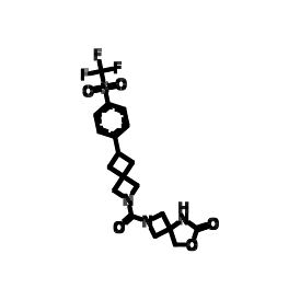 O=C1NC2(CO1)CN(C(=O)N1CC3(CC(c4ccc(S(=O)(=O)C(F)(F)F)cc4)C3)C1)C2